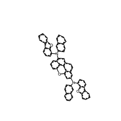 c1ccc2cc(N(c3cc4c5c(ccc6cc(N(c7ccc8ccccc8c7)c7cccc8c7oc7ccccc78)c7cccc(c7c65)O4)c3)c3cccc4c3oc3ccccc34)ccc2c1